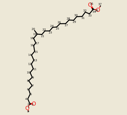 COC(=O)CCCCCCCCCCCCCCCC(C)CCCCCCCCCCCCCC(=O)OC